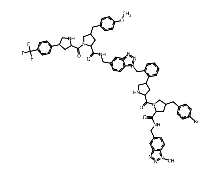 COc1ccc(CC2CC(C(=O)NCc3ccc4c(c3)nnn4Cc3ccccc3C3CNC(C(=O)N4CC(Cc5ccc(Br)cc5)CC4C(=O)NCc4ccc5c(c4)nnn5C)C3)N(C(=O)C3CC(c4ccc(C(F)(F)F)cc4)CN3)C2)cc1